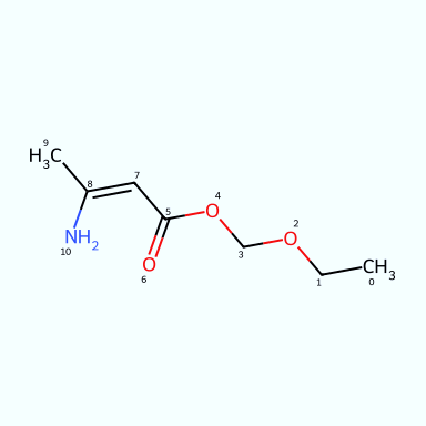 CCOCOC(=O)C=C(C)N